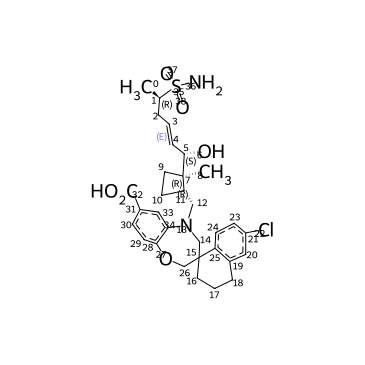 C[C@H](C/C=C/[C@H](O)[C@]1(C)CC[C@H]1CN1CC2(CCCc3cc(Cl)ccc32)COc2ccc(C(=O)O)cc21)S(N)(=O)=O